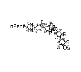 CCCCCc1cnc(-c2ccc(-c3cc(F)c(C(F)(F)Oc4ccc(-c5cc(F)c(OCF)c(F)c5)c(F)c4)c(F)c3)c(F)c2)nc1